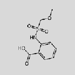 COCS(=O)(=O)Nc1ccccc1C(=O)O